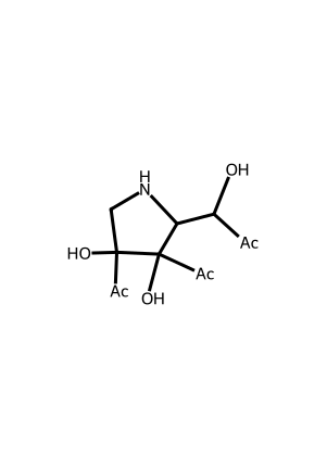 CC(=O)C(O)C1NCC(O)(C(C)=O)C1(O)C(C)=O